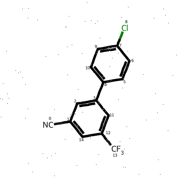 N#Cc1cc(-c2ccc(Cl)cc2)cc(C(F)(F)F)c1